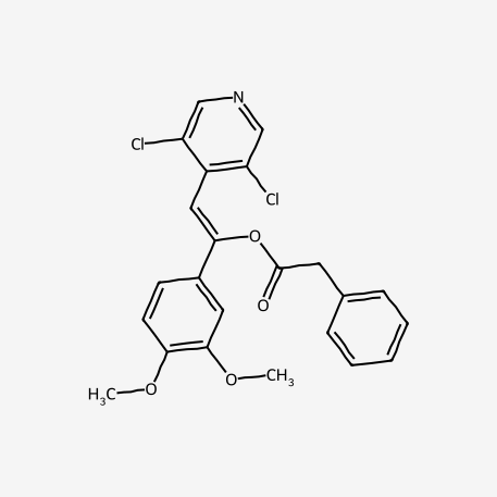 COc1ccc(/C(=C/c2c(Cl)cncc2Cl)OC(=O)Cc2ccccc2)cc1OC